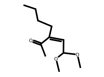 CCCCC(=CC(OC)OC)C(C)=O